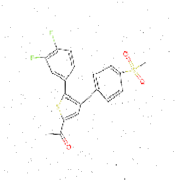 CC(=O)c1cc(-c2ccc(S(C)(=O)=O)cc2)c(-c2ccc(F)c(F)c2)s1